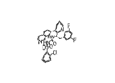 O=C(N[C@H](Cc1cc(F)cc(F)c1)c1ncccc1-c1ccc2ccncc2c1)NS(=O)(=O)c1ccccc1Cl